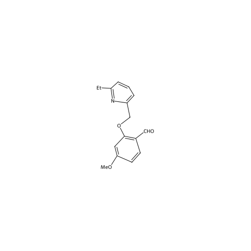 CCc1cccc(COc2cc(OC)ccc2C=O)n1